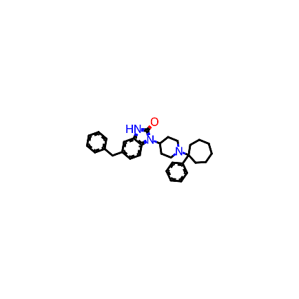 O=c1[nH]c2cc(Cc3ccccc3)ccc2n1C1CCN(C2(c3ccccc3)CCCCCC2)CC1